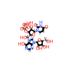 O=c1ccn([C@@H]2O[C@H](CO)[C@@H](OP(=O)(O)O)[C@H]2O)c(=O)[nH]1.OC[C@H]1O[C@@H](n2cnc3c(O)ncnc32)[C@H](O)[C@@H]1O